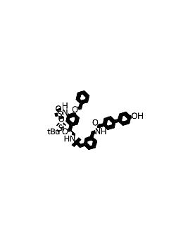 CC(C)(Cc1cccc(CNC(=O)c2ccc(-c3ccc(O)cc3)cc2)c1)NC[C@@H](O[Si](C)(C)C(C)(C)C)c1ccc(OCc2ccccc2)c(NS(C)(=O)=O)c1